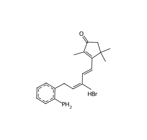 Br.CC(C=CC1=C(C)C(=O)CC1(C)C)=CCc1ccccc1P